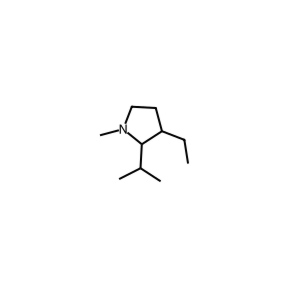 CCC1CCN(C)C1C(C)C